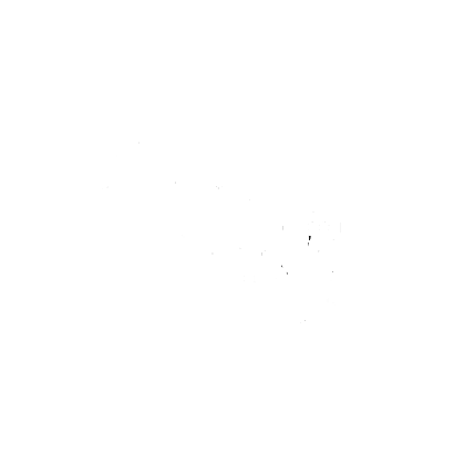 Cc1ccc(-c2ccc(S(=O)(=O)N3CCSC(C)(C)[C@@H]3C(=O)O)cc2)cc1